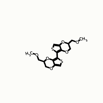 COCC1COc2c(csc2-c2scc3c2OC(COC)CO3)O1